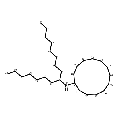 CCCCCCCCC(BC1CCCCCCCCCCCC1)CCCCCCC